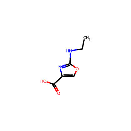 CCNc1nc(C(=O)O)co1